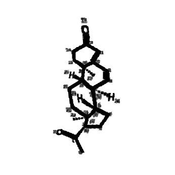 CC(=O)[C@@H]1CC[C@H]2[C@@H]3C=CC4=CC(=O)CC[C@]4(C)[C@H]3CC[C@]12C